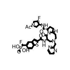 CC(=O)N1CC(NC(=O)[C@@H]2CC[C@@H]3CCN(Cc4ncccn4)C[C@H](NC(=O)c4cc5cc(C(F)P(=O)(O)O)ccc5s4)C(=O)N32)[C@@H](F)C1